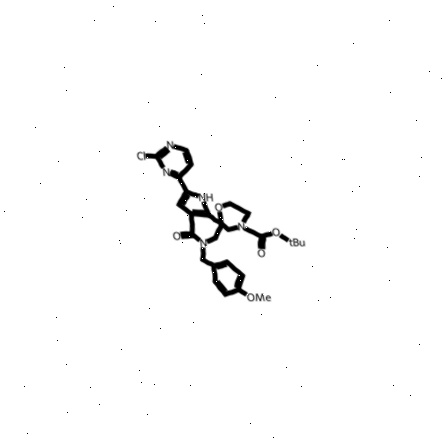 COc1ccc(CN2CC3(CN(C(=O)OC(C)(C)C)CCO3)c3[nH]c(-c4ccnc(Cl)n4)cc3C2=O)cc1